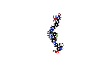 CCOc1cc(-c2ccc(N3CCC(CN4CCN(C(=O)CCN5CCC(c6ccc7c(c6)C(=O)N([C@@H]6CCC(=O)NC6=O)C7)CC5)CC4)(NC(=O)c4cc(F)ccc4F)CC3)nc2)c2c(C#N)cnn2c1